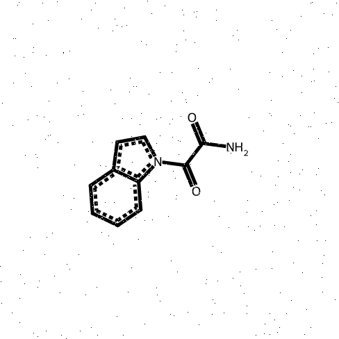 NC(=O)C(=O)n1ccc2ccccc21